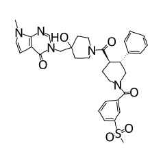 Cn1ccc2c(=O)n(CC3(O)CCN(C(=O)[C@@H]4CCN(C(=O)c5cccc(S(C)(=O)=O)c5)C[C@H]4c4ccccc4)CC3)cnc21